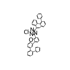 Clc1nc(-c2cc3cccc(-c4ccccc4)c3c3ccccc23)nc(-c2cccc3c2oc2ccc(-c4ccccc4-c4ccccc4)cc23)n1